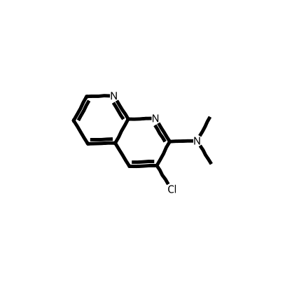 CN(C)c1nc2ncccc2cc1Cl